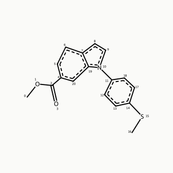 COC(=O)c1ccc2ccn(-c3ccc(SC)cc3)c2c1